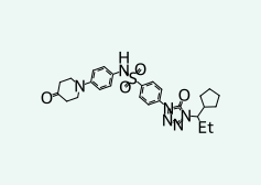 CCC(C1CCCC1)n1nnn(-c2ccc(S(=O)(=O)Nc3ccc(N4CCC(=O)CC4)cc3)cc2)c1=O